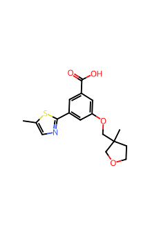 Cc1cnc(-c2cc(OCC3(C)CCOC3)cc(C(=O)O)c2)s1